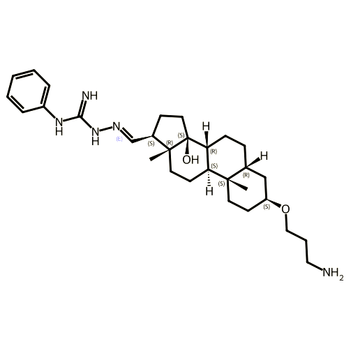 C[C@]12CC[C@H](OCCCN)C[C@H]1CC[C@@H]1[C@@H]2CC[C@]2(C)[C@@H](/C=N/NC(=N)Nc3ccccc3)CC[C@]12O